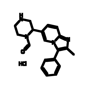 Cc1nc2ccc(C3CNCCN3C=O)cn2c1-c1ccccc1.Cl